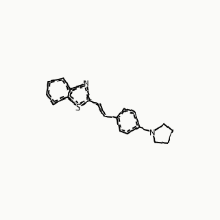 C(=Cc1nc2ccccc2s1)c1ccc(N2CCCC2)cc1